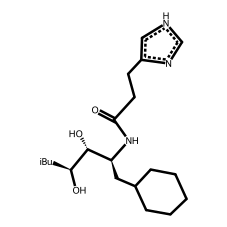 CCC(C)[C@H](O)[C@H](O)[C@H](CC1CCCCC1)NC(=O)CCc1c[nH]cn1